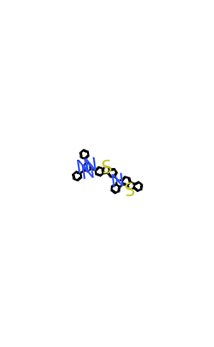 c1ccc(-c2nc(-c3ccccc3)nc(-c3ccc4c(c3)sc3ccc(-n5c6ccccc6c6c7sc8ccccc8c7ccc65)cc34)n2)cc1